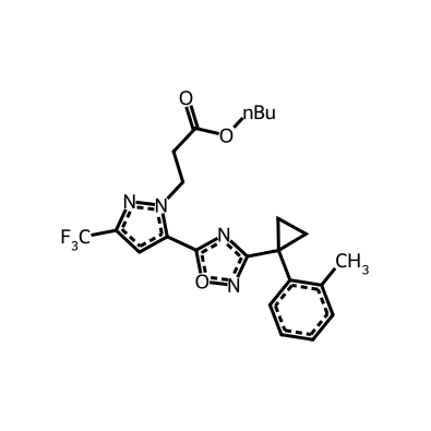 CCCCOC(=O)CCn1nc(C(F)(F)F)cc1-c1nc(C2(c3ccccc3C)CC2)no1